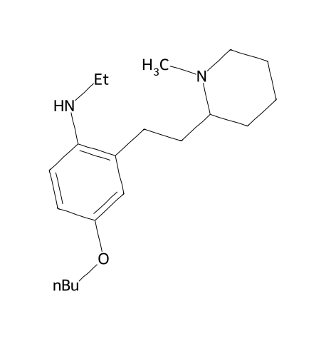 CCCCOc1ccc(NCC)c(CCC2CCCCN2C)c1